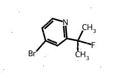 CC(C)(F)c1cc(Br)ccn1